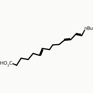 CCCCC=CC=CCCCC=CCCCCC(=O)O